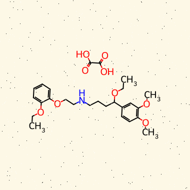 CCOc1ccccc1OCCNCCCC(OCC)c1ccc(OC)c(OC)c1.O=C(O)C(=O)O